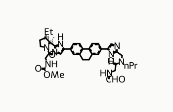 CCCN(Cc1ncc(-c2ccc3c(c2)CCc2cc(-c4cnc([C@]5(C)[C@H](CC)CCN5C(=O)CNC(=O)OC)[nH]4)ccc2-3)[nH]1)C(=O)CNC=O